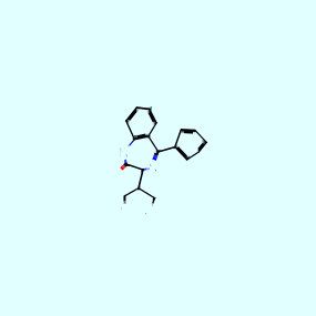 CCC(CC)C1N=C(c2ccccc2)c2cc(Cl)ccc2NC1=O